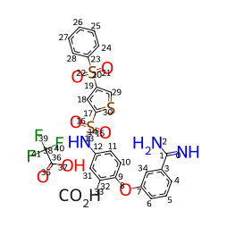 N=C(N)c1cccc(Oc2ccc(NS(=O)(=O)c3cc(S(=O)(=O)c4ccccc4)cs3)cc2C(=O)O)c1.O=C(O)C(F)(F)F